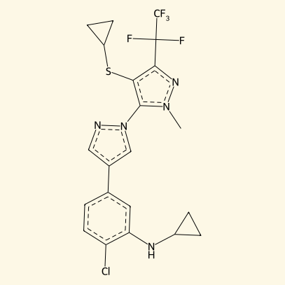 Cn1nc(C(F)(F)C(F)(F)F)c(SC2CC2)c1-n1cc(-c2ccc(Cl)c(NC3CC3)c2)cn1